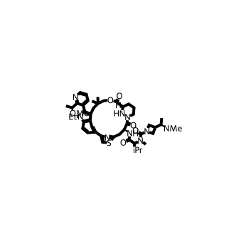 CCn1c(-c2cccnc2[C@H](C)OC)c2c3cc(ccc31)-c1csc(n1)C[C@H](NC(=O)C(C(C)C)N(C)C(=O)N1CC([C@@H](C)NC)C1)C(=O)N1CCC[C@H](N1)C(=O)OCC(C)(C)C2